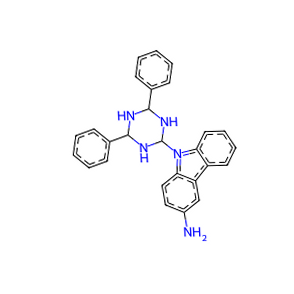 Nc1ccc2c(c1)c1ccccc1n2C1NC(c2ccccc2)NC(c2ccccc2)N1